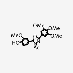 COc1cc(C2OC(c3cc(OC)c(OC)c(OC)c3)=NN2C(C)=O)ccc1O